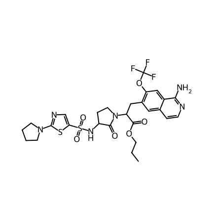 CCCOC(=O)C(Cc1cc2ccnc(N)c2cc1OC(F)(F)F)N1CCC(NS(=O)(=O)c2cnc(N3CCCC3)s2)C1=O